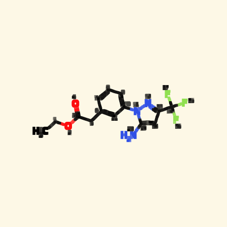 CCOC(=O)Cc1cccc(-n2nc(C(F)(F)F)cc2N)c1